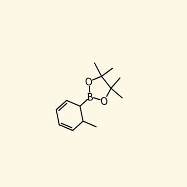 CC1C=CC=CC1B1OC(C)(C)C(C)(C)O1